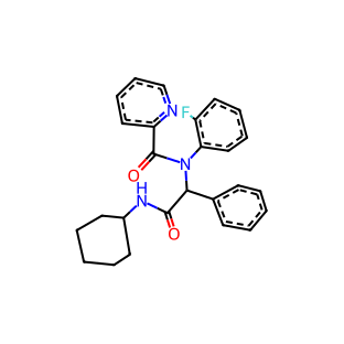 O=C(NC1CCCCC1)C(c1ccccc1)N(C(=O)c1ccccn1)c1ccccc1F